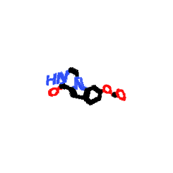 O=COc1ccc2cc3n(c2c1)CCNC3=O